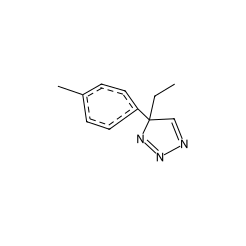 CCC1(c2ccc(C)cc2)C=NN=N1